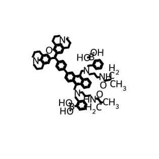 C=C(C)C(=O)NCCCN(Cc1ccccc1B(O)O)Cc1c2ccccc2c(CN(CCCNC(=O)C(=C)C)Cc2ccccc2B(O)O)c2cc(-c3ccc(C4=c5cc6c7c(c5Oc5c4cc4c8c5CCCN8CCC4)CCC[N+]=7CCC6)cc3)ccc12